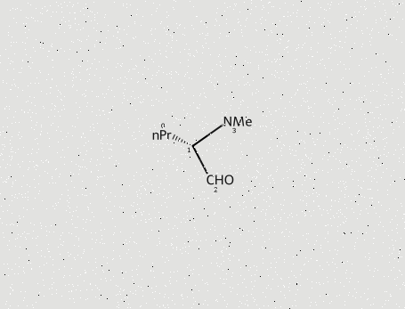 CCC[C@@H](C=O)NC